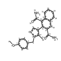 COc1ccc(Cn2ncc(-c3c(C(N)=O)nc4ccccc4c3C(N)=O)c2C)cc1